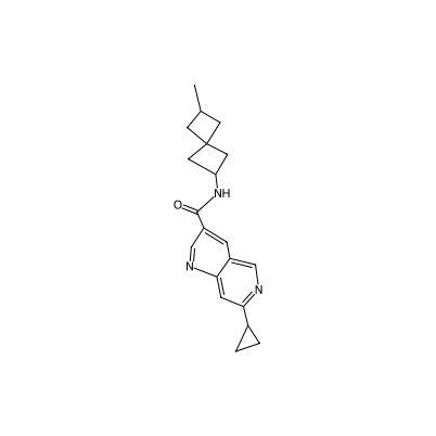 CC1CC2(C1)CC(NC(=O)c1cnc3cc(C4CC4)ncc3c1)C2